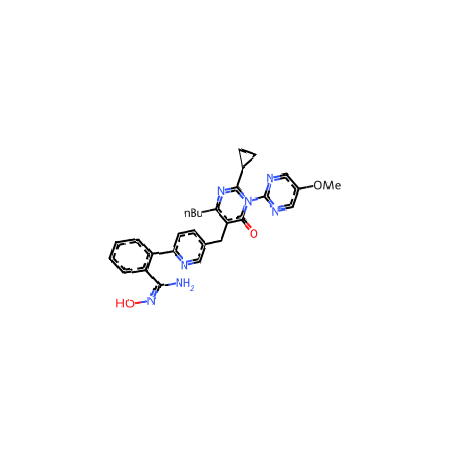 CCCCc1nc(C2CC2)n(-c2ncc(OC)cn2)c(=O)c1Cc1ccc(-c2ccccc2/C(N)=N\O)nc1